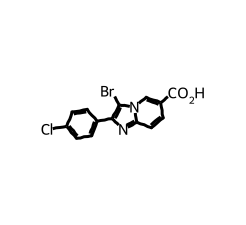 O=C(O)c1ccc2nc(-c3ccc(Cl)cc3)c(Br)n2c1